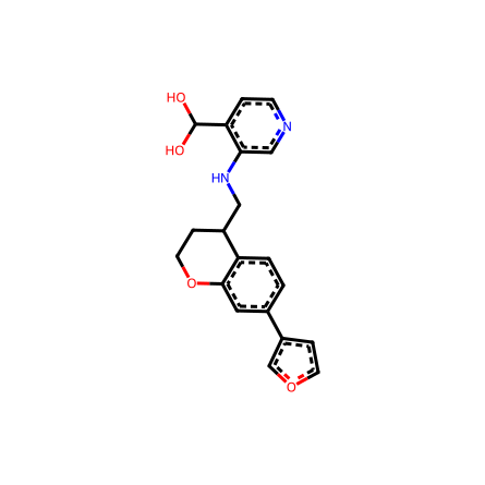 OC(O)c1ccncc1NCC1CCOc2cc(-c3ccoc3)ccc21